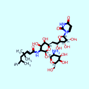 CC(C)C(C)CC(C)(C)/C=C/C(=O)NC1C(O)C(O)[C@@H](C[C@@H](O)C2O[C@@H](n3ccc(=O)[nH]c3=O)[C@H](O)[C@@H]2O)O[C@H]1O[C@H]1O[C@@H](CO)C(O)C(O)C1N